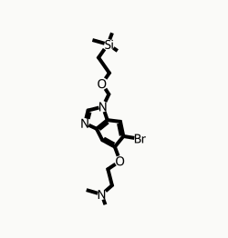 CN(C)CCOc1cc2ncn(COCC[Si](C)(C)C)c2cc1Br